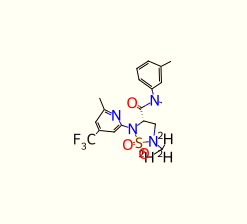 [2H]C([2H])([2H])N1C[C@@H](C(=O)N(C)c2cccc(C)c2)N(c2cc(C(F)(F)F)cc(C)n2)S1(=O)=O